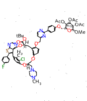 CO[C@H]1O[C@H](COc2ccc(-c3nccc(COc4ccc5cc4C[C@H](C(=O)OC(C)(C)C)Oc4ncnc6sc(-c7ccc(F)cc7)c(c46)-c4ccc(c(Cl)c4C)O[C@H](CN4CCN(C)CC4)CO5)n3)cc2)[C@@H](OC(C)=O)[C@H](OC(C)=O)[C@@H]1OC(C)=O